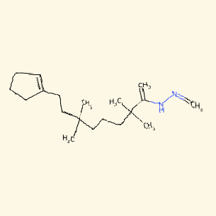 C=NNC(=C)C(C)(C)CCCC(C)(C)CCC1=CCCC1